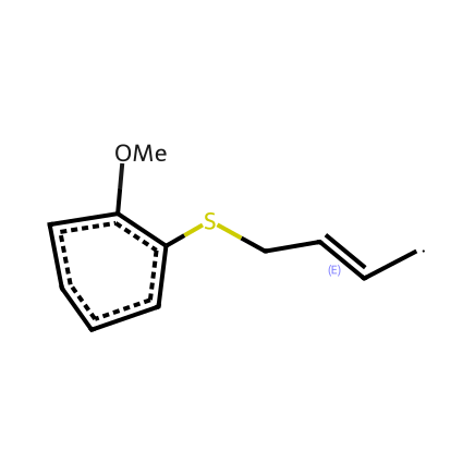 [CH2]/C=C/CSc1ccccc1OC